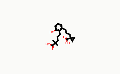 CC(C)(CCCc1c(O)cccc1CCCC1(C(=O)O)CC1)C(=O)O